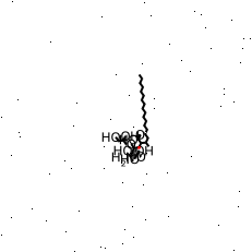 CCCCCCCCCCCCCCCCC(C)C(CC(OCC(O)CO)C(N)(O)P(=O)(O)O)C(=O)O